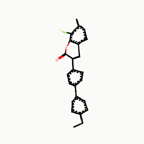 CCc1ccc(-c2ccc(C3Cc4ccc(C)c(F)c4OC3=O)cc2)cc1